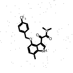 Cc1ccc(OCc2ccc(C(F)(F)F)cc2)c2c(C(=O)C(=O)N(C)C)c[nH]c12